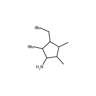 CC1C(C)C(CC(C)(C)C)C(C(C)(C)C)C1N